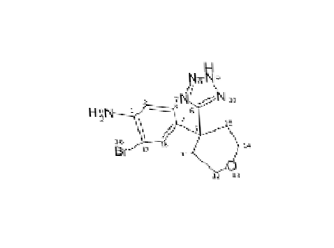 Nc1ccc(C2(c3nn[nH]n3)CCOCC2)cc1Br